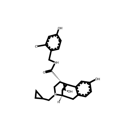 O=C(NCc1ccc(O)cc1Cl)[C@@H]1C[C@]23CCN(CC4CC4)[C@H](Cc4ccc(O)cc42)[C@]3(O)C1